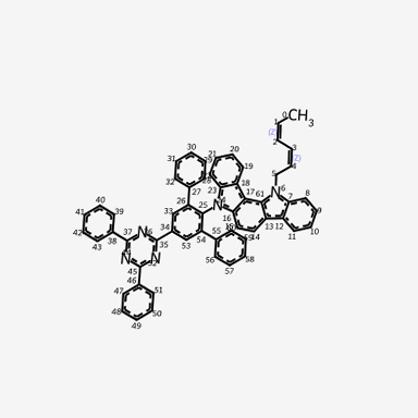 C/C=C\C=C/Cn1c2ccccc2c2ccc3c(c4ccccc4n3-c3c(-c4ccccc4)cc(-c4nc(-c5ccccc5)nc(-c5ccccc5)n4)cc3-c3ccccc3)c21